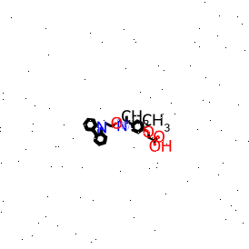 C/C(=N\OCCn1c2ccccc2c2ccccc21)c1ccc(OCC(=O)O)c(C)c1